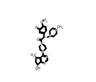 C[C@@H]1C[C@@H](O)c2ncnc(N3CCN(C(=O)[C@@H](CN4CCN(C)CC4)c4ccc(OC(F)(F)F)c(F)c4)CC3)c21